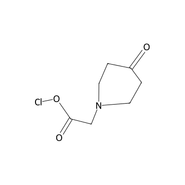 O=C1CCN(CC(=O)OCl)CC1